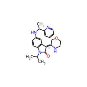 CC(Nc1ccc2c(c1)/C(=C1\COCCN1)C(=O)N2C(C)C)c1ccccn1